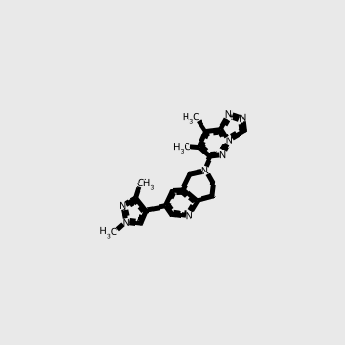 Cc1nn(C)cc1-c1cnc2c(c1)CN(c1nn3cnnc3c(C)c1C)CC2